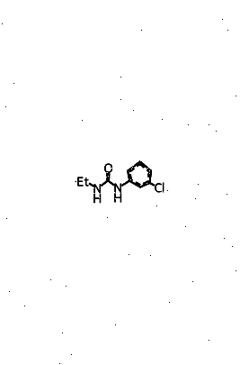 C[CH]NC(=O)Nc1cccc(Cl)c1